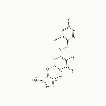 Cc1cc(OCc2ccc(F)cc2F)c(Br)c(=O)n1Cc1ccc(C(=O)O)o1